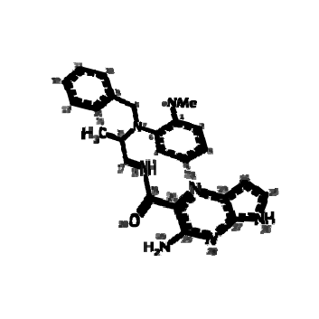 CNc1ccccc1N(Cc1ccccc1)C(C)CNC(=O)c1nc2cc[nH]c2nc1N